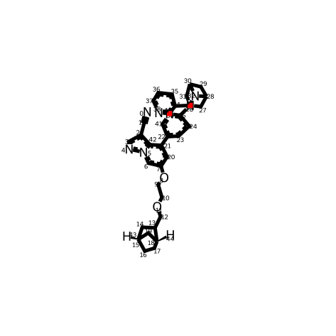 N#Cc1cnn2cc(OCCOCC3C[C@H]4CC[C@@H]3C4)cc(-c3ccc(N4CC5CC(C4)N5Cc4cccnc4)nc3)c12